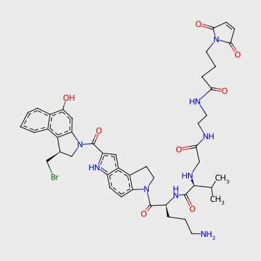 CC(C)[C@H](NCC(=O)NCCNC(=O)CCCN1C(=O)C=CC1=O)C(=O)N[C@@H](CCCN)C(=O)N1CCc2c1ccc1[nH]c(C(=O)N3C[C@@H](CBr)c4c3cc(O)c3ccccc43)cc21